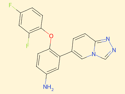 Nc1ccc(Oc2ccc(F)cc2F)c(-c2ccc3nncn3c2)c1